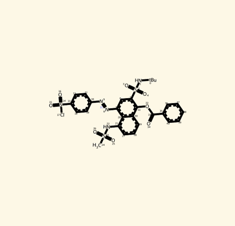 CC(C)(C)NS(=O)(=O)c1cc(/N=N/c2ccc(S(=O)(=O)Cl)cc2)c2c(NS(C)(=O)=O)cccc2c1OC(=O)c1ccccc1